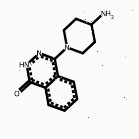 NC1CCN(c2n[nH]c(=O)c3ccccc23)CC1